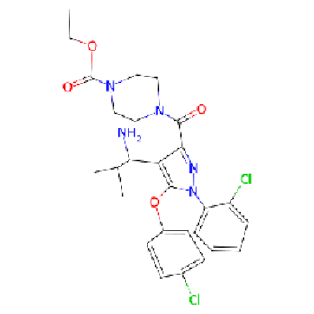 CCOC(=O)N1CCN(C(=O)c2nn(-c3ccccc3Cl)c(Oc3ccc(Cl)cc3)c2C(N)C(C)C)CC1